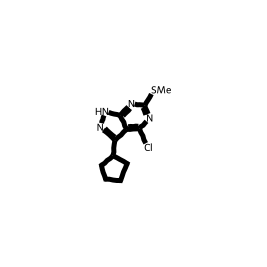 CSc1nc(Cl)c2c(C3CCCC3)n[nH]c2n1